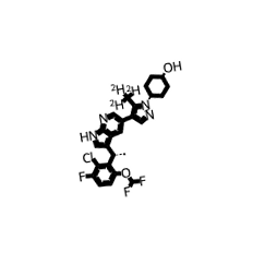 [2H]C([2H])([2H])c1c(-c2cnc3[nH]cc([C@H](C)c4c(OC(F)F)ccc(F)c4Cl)c3c2)cnn1[C@H]1CC[C@H](O)CC1